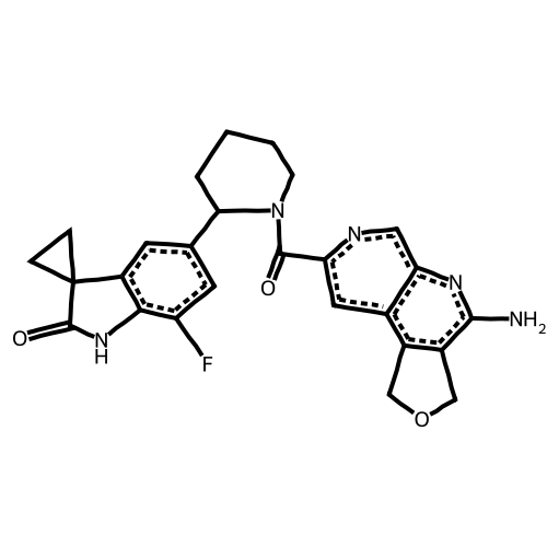 Nc1nc2cnc(C(=O)N3CCCCC3c3cc(F)c4c(c3)C3(CC3)C(=O)N4)cc2c2c1COC2